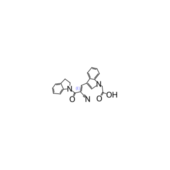 N#C/C(=C\c1cn(CC(=O)O)c2ccccc12)C(=O)N1CCc2ccccc21